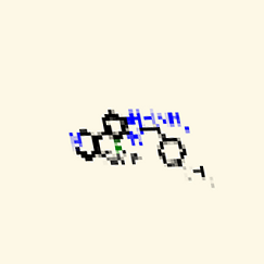 CSc1ccncc1-c1ccc2[nH]c([C@@H](N)C3CCC(C)CC3)nc2c1F